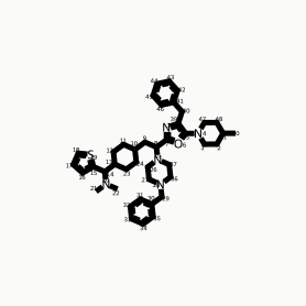 CC1CCN(c2oc(C(CC3CCC(C(c4cccs4)N(C)C)CC3)N3CCN(Cc4ccccc4)CC3)nc2Cc2ccccc2)CC1